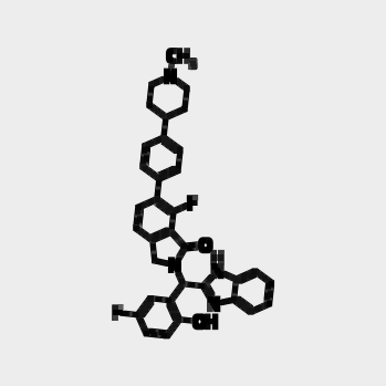 CN1CCC(c2ccc(-c3ccc4c(c3F)C(=O)N(C(c3nc5ccccc5[nH]3)c3cc(F)ccc3O)C4)cc2)CC1